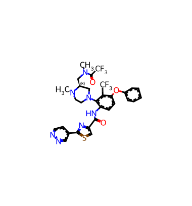 CN(C[C@H]1CN(c2c(NC(=O)c3csc(-c4ccnnc4)n3)ccc(Oc3ccccc3)c2C(F)(F)F)CCN1C)C(=O)C(F)(F)F